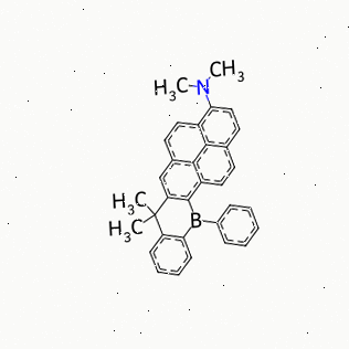 CN(C)c1ccc2ccc3c4c(cc5ccc1c2c53)C(C)(C)c1ccccc1B4c1ccccc1